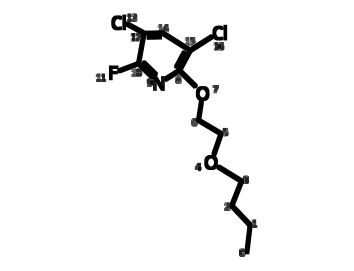 CCCCOCCOc1nc(F)c(Cl)cc1Cl